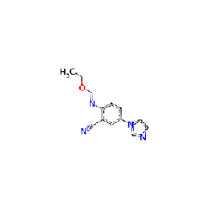 CCOC=Nc1ccc(-n2ccnc2)cc1C#N